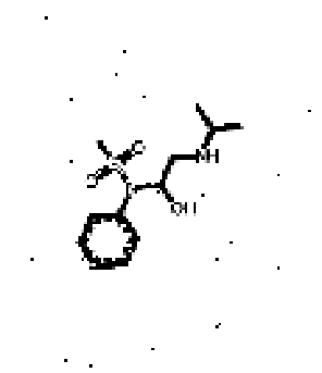 CC(C)NCC(O)N(c1ccccc1)S(C)(=O)=O